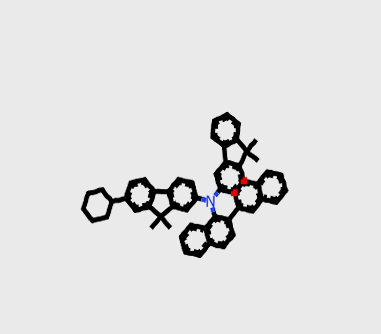 CC1(C)c2ccccc2-c2cc(N(c3ccc4c(c3)C(C)(C)c3cc(C5CCCCC5)ccc3-4)c3c(-c4ccc5ccccc5c4)ccc4ccccc34)ccc21